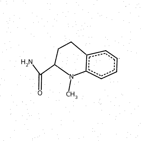 CN1c2cc[c]cc2CCC1C(N)=O